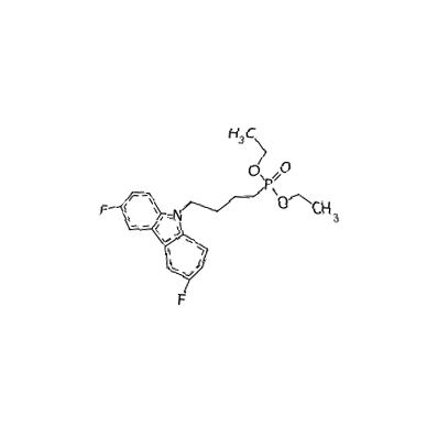 CCOP(=O)(CCCCn1c2ccc(F)cc2c2cc(F)ccc21)OCC